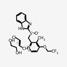 C/C=C/Cl.Cc1c(OCC(F)(F)F)ccnc1C[S+]([O-])c1nc2ccccc2[nH]1.OCCO